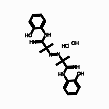 CC(C)(/N=N/C(C)(C)C(=N)Nc1ccccc1O)C(=N)Nc1ccccc1O.Cl.Cl